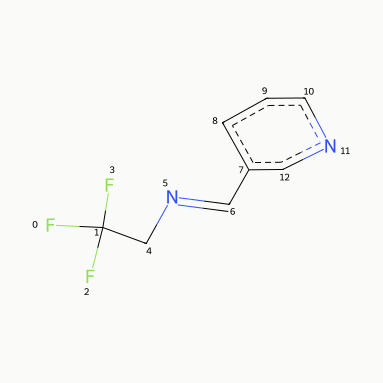 FC(F)(F)CN=Cc1cccnc1